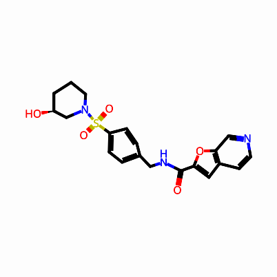 O=C(NCc1ccc(S(=O)(=O)N2CCC[C@H](O)C2)cc1)c1cc2ccncc2o1